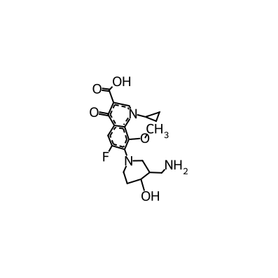 COc1c(N2CCC(O)C(CN)C2)c(F)cc2c(=O)c(C(=O)O)cn(C3CC3)c12